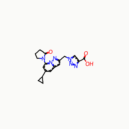 O=C(O)c1cn(Cc2cc3cc(C4CC4)cc(N4CCCC4=O)n3n2)nn1